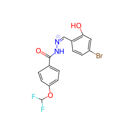 O=C(N/N=C\c1ccc(Br)cc1O)c1ccc(OC(F)F)cc1